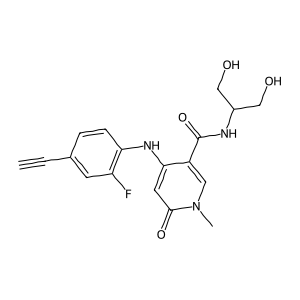 C#Cc1ccc(Nc2cc(=O)n(C)cc2C(=O)NC(CO)CO)c(F)c1